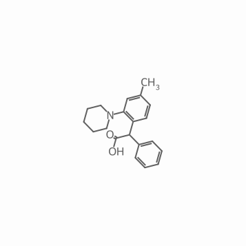 Cc1ccc(C(C(=O)O)c2ccccc2)c(N2CCCCC2)c1